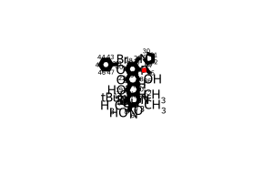 CN(C)[C@@H]1c2onc(O)c2C(=O)[C@@]2(O[Si](C)(C)C(C)(C)C)C(O)=C3C(=O)c4c(c(F)c(CN5CCC[C@H]5CCO)c(Br)c4OCc4ccccc4)C[C@H]3C[C@@H]12